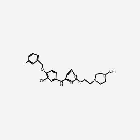 CN1CCN(CCOc2nccc(Nc3ccc(OCc4cccc(F)c4)c(Cl)c3)n2)CC1